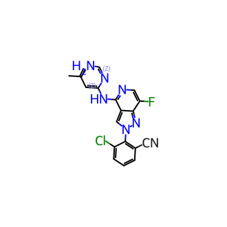 C=C(C)/C=C(\N=C/N)Nc1ncc(F)c2nn(-c3c(Cl)cccc3C#N)cc12